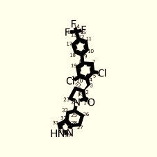 O=C1[C@H](Cc2c(Cl)cc(-c3ccc(C(F)(F)F)cc3)cc2Cl)CCN1C1CCc2n[nH]cc2C1